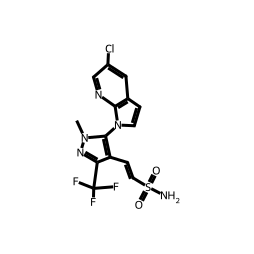 Cn1nc(C(F)(F)F)c(C=CS(N)(=O)=O)c1-n1ccc2cc(Cl)cnc21